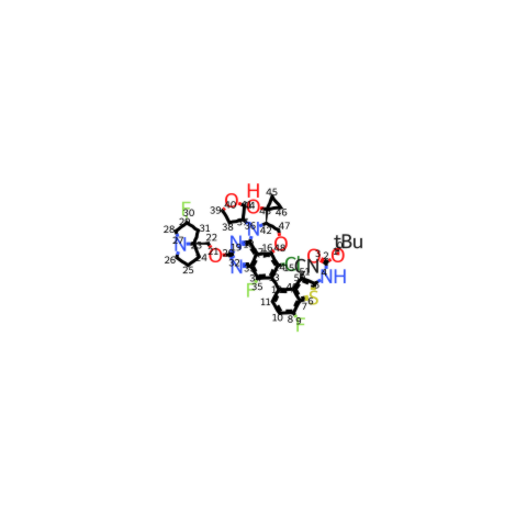 CC(C)(C)OC(=O)Nc1sc2c(F)ccc(-c3c(Cl)c4c5c(nc(OC[C@@]67CCCN6C[C@H](F)C7)nc5c3F)N(C3CCOC3)[C@@H](C3(O)CC3)CO4)c2c1C#N